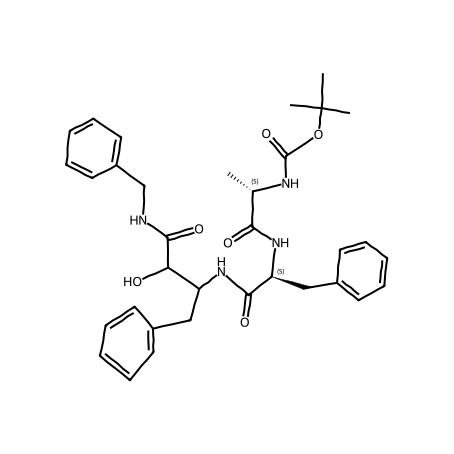 C[C@H](NC(=O)OC(C)(C)C)C(=O)N[C@@H](Cc1ccccc1)C(=O)NC(Cc1ccccc1)C(O)C(=O)NCc1ccccc1